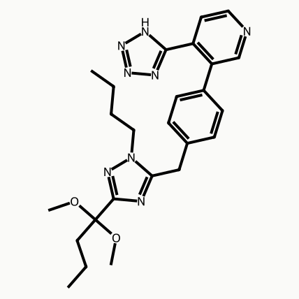 CCCCn1nc(C(CCC)(OC)OC)nc1Cc1ccc(-c2cnccc2-c2nnn[nH]2)cc1